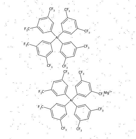 FC(F)(F)c1cc(C(F)(F)F)c[c]([Al-]([c]2cc(C(F)(F)F)cc(C(F)(F)F)c2)([c]2cc(C(F)(F)F)cc(C(F)(F)F)c2)[c]2cc(C(F)(F)F)cc(C(F)(F)F)c2)c1.FC(F)(F)c1cc(C(F)(F)F)c[c]([Al-]([c]2cc(C(F)(F)F)cc(C(F)(F)F)c2)([c]2cc(C(F)(F)F)cc(C(F)(F)F)c2)[c]2cc(C(F)(F)F)cc(C(F)(F)F)c2)c1.[Mg+2]